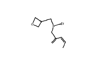 C=C(/C=C\C)CN(CC)CC1COC1